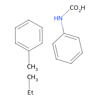 CCC.Cc1ccccc1.O=C(O)Nc1ccccc1